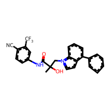 CC(O)(Cn1ccc2c(-c3ccccc3)cccc21)C(=O)Nc1ccc(C#N)c(C(F)(F)F)c1